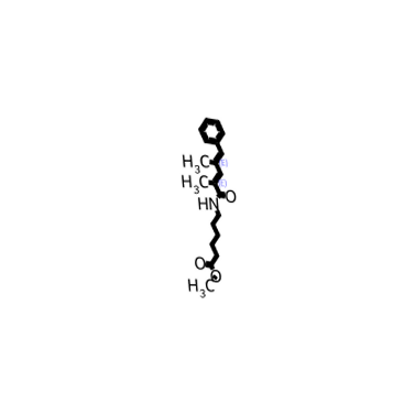 COC(=O)CCCCCNC(=O)/C(C)=C/C(C)=C/c1ccccc1